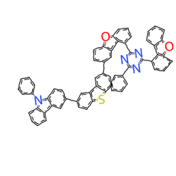 c1ccc(-c2nc(-c3cccc4oc5ccccc5c34)nc(-c3cccc4oc5ccc(-c6ccc7sc8ccc(-c9ccc%10c(c9)c9ccccc9n%10-c9ccccc9)cc8c7c6)cc5c34)n2)cc1